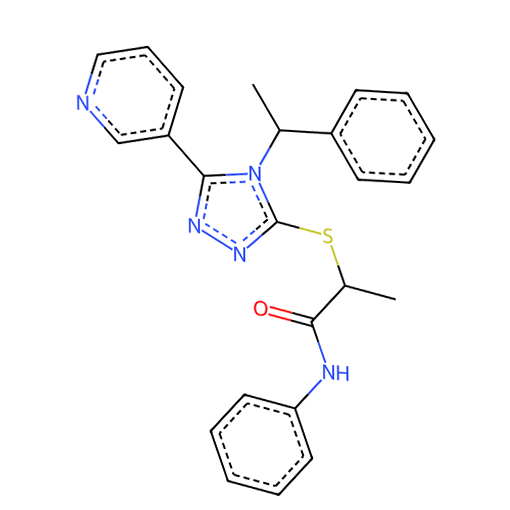 CC(Sc1nnc(-c2cccnc2)n1C(C)c1ccccc1)C(=O)Nc1ccccc1